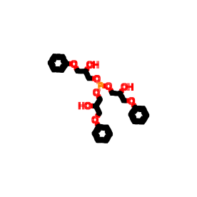 OC(COc1ccccc1)COP(OCC(O)COc1ccccc1)OCC(O)COc1ccccc1